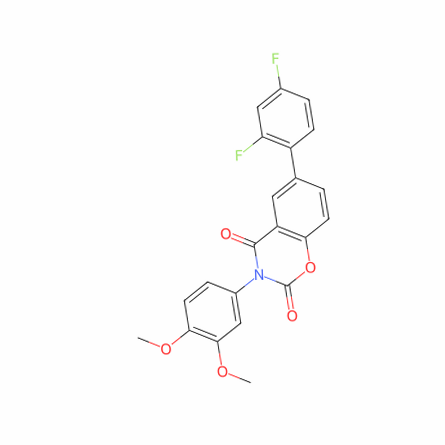 COc1ccc(-n2c(=O)oc3ccc(-c4ccc(F)cc4F)cc3c2=O)cc1OC